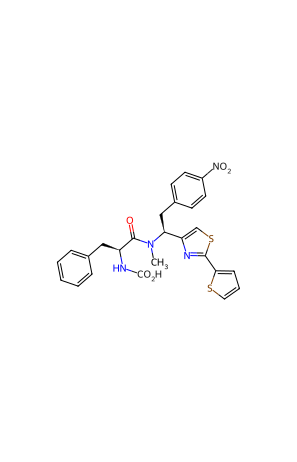 CN(C(=O)[C@H](Cc1ccccc1)NC(=O)O)[C@@H](Cc1ccc([N+](=O)[O-])cc1)c1csc(-c2cccs2)n1